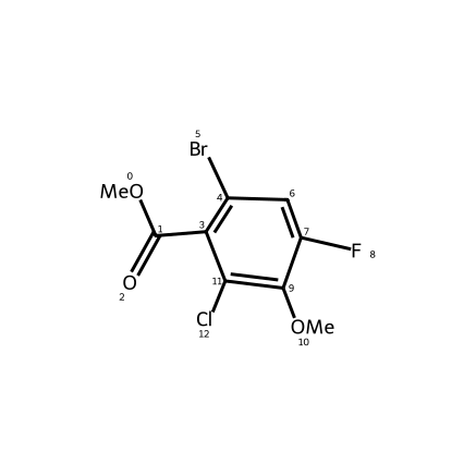 COC(=O)c1c(Br)cc(F)c(OC)c1Cl